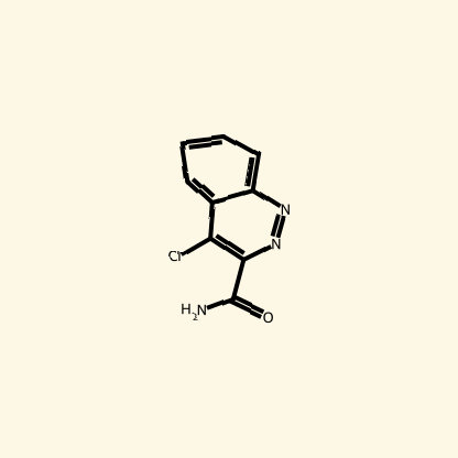 NC(=O)c1nnc2ccccc2c1Cl